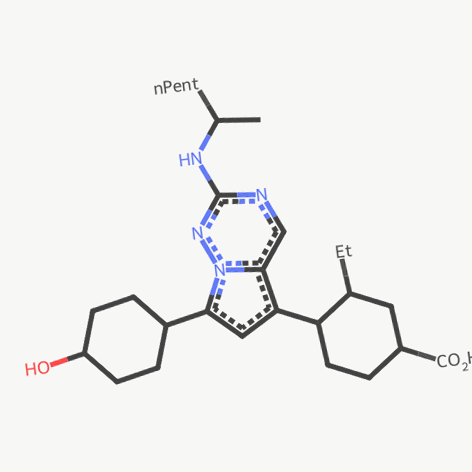 CCCCCC(C)Nc1ncc2c(C3CCC(C(=O)O)CC3CC)cc(C3CCC(O)CC3)n2n1